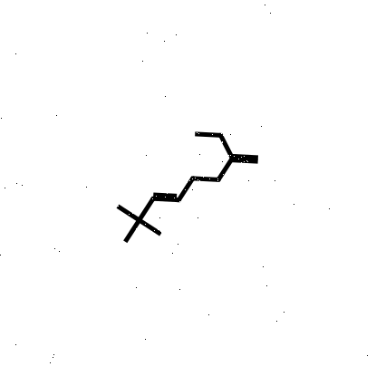 C=C(CC)CCC=CC(C)(C)C